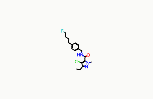 CCc1nn(C)c(C(=O)NCc2ccc(CCCCF)cc2)c1Cl